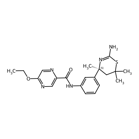 CCOc1cnc(C(=O)Nc2cccc([C@]3(C)CC(C)(C)SC(N)=N3)c2)cn1